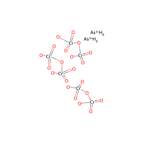 [AsH6+3].[AsH6+3].[O]=[Cr](=[O])([O-])[O][Cr](=[O])(=[O])[O-].[O]=[Cr](=[O])([O-])[O][Cr](=[O])(=[O])[O-].[O]=[Cr](=[O])([O-])[O][Cr](=[O])(=[O])[O-]